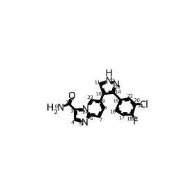 NC(=O)c1cnc2ccc(-c3c[nH]nc3-c3ccc(F)c(Cl)c3)cn12